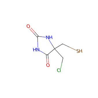 O=C1NC(=O)C(CS)(CCl)N1